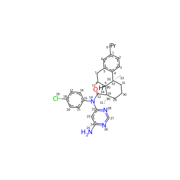 CC(C)c1ccc2c(c1)CC[C@H]1[C@](C)(C(=O)N(c3ccc(Cl)cc3)c3cc(N)ncn3)CCC[C@]21C